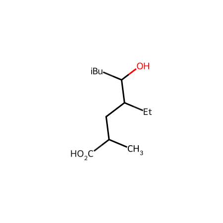 CCC(C)C(O)C(CC)CC(C)C(=O)O